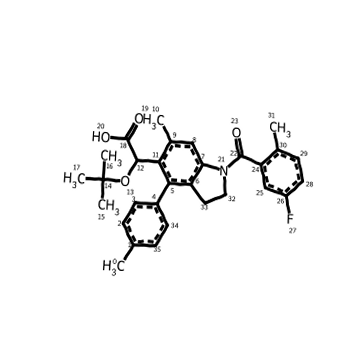 Cc1ccc(-c2c3c(cc(C)c2C(OC(C)(C)C)C(=O)O)N(C(=O)c2cc(F)ccc2C)CC3)cc1